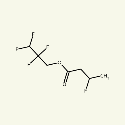 CC(F)CC(=O)OCC(F)(F)C(F)F